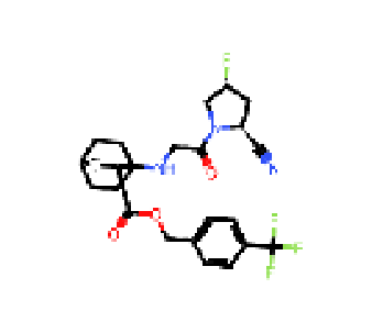 N#C[C@@H]1C[C@H](F)CN1C(=O)CNC12CCC(CC1)CC2C(=O)OCc1ccc(C(F)(F)F)cc1